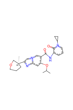 CC(C)Oc1cc2nc([C@@]3(C)CCCOC3)cn2cc1C(=O)Nc1cccn(C2CC2)c1=O